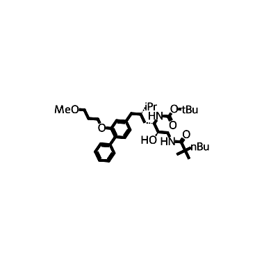 CCCCC(C)(C)C(=O)NC[C@H](O)[C@H](C[C@H](Cc1ccc(-c2ccccc2)c(OCCCOC)c1)C(C)C)NC(=O)OC(C)(C)C